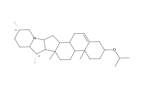 CC(C)OC1CCC2(C)C(=CCC3C2CCC2(C)C3CC3C2[C@H](C)C2CC[C@H](C)CN32)C1